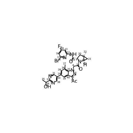 CC(=O)c1nn(CC(=O)N2[C@H](C(=O)Nc3cc(F)cc(Br)n3)C[C@@]3(C)C[C@@H]23)c2c(C)cc(-c3cnc(C(C)O)nc3)cc12